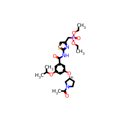 CCOP(=O)(Cc1csc(NC(=O)c2cc(OC(C)C)cc(O[C@@H]3CCN(C(C)=O)C3)c2)n1)OCC